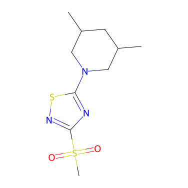 CC1CC(C)CN(c2nc(S(C)(=O)=O)ns2)C1